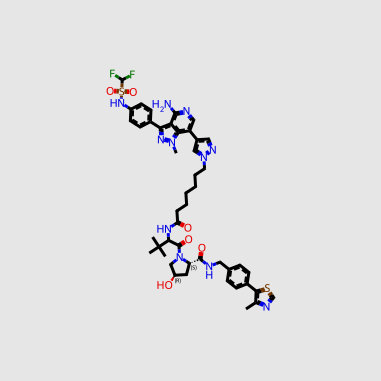 Cc1ncsc1-c1ccc(CNC(=O)[C@@H]2C[C@@H](O)CN2C(=O)C(NC(=O)CCCCCCn2cc(-c3cnc(N)c4c(-c5ccc(NS(=O)(=O)C(F)F)cc5)nn(C)c34)cn2)C(C)(C)C)cc1